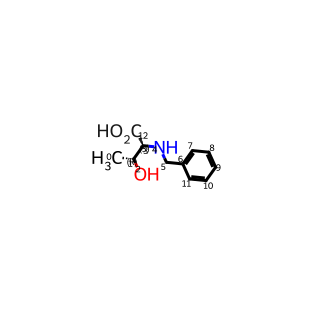 C[C@@H](O)[C@H](NCc1ccccc1)C(=O)O